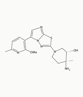 COc1nc(C)ccc1-c1cnc2sc(N3CC[C@](C)(N)[C@@H](O)C3)nn12